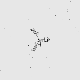 [Li][SiH](C#C)C#C